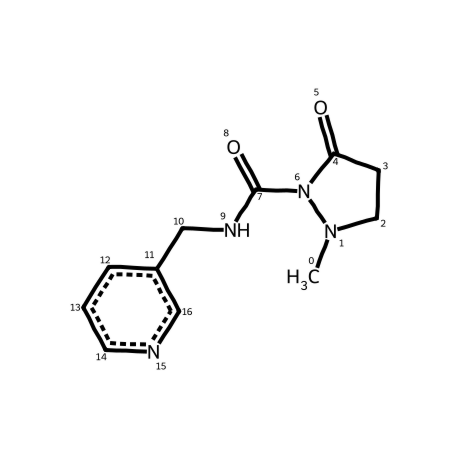 CN1CCC(=O)N1C(=O)NCc1cccnc1